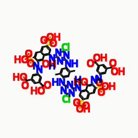 Cc1cc(Nc2nc(Cl)nc(Nc3cc(S(=O)(=O)O)cc4cc(S(=O)(=O)O)c(N=Nc5cc(C(=O)O)cc(C(=O)O)c5)c(O)c34)n2)c(C)cc1Nc1nc(Cl)nc(Nc2cc(S(=O)(=O)O)cc3cc(S(=O)(=O)O)c(N=Nc4cc(C(=O)O)cc(C(=O)O)c4)c(O)c23)n1